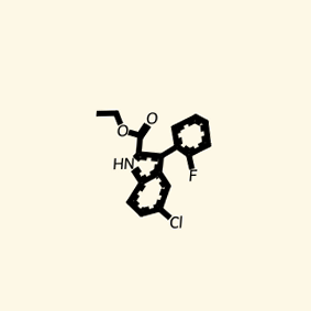 CCOC(=O)c1[nH]c2ccc(Cl)cc2c1-c1ccccc1F